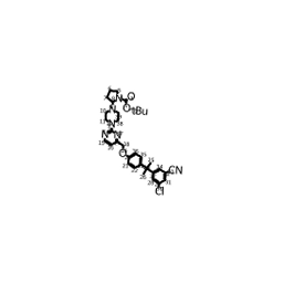 CC(C)(C)OC(=O)N1CCCC1N1CCN(c2nccc(COc3ccc(C(C)(C)c4cc(Cl)cc(C#N)c4)cc3)n2)CC1